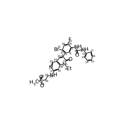 CCn1c(=O)c(-c2cc(NC(=O)Nc3ccccc3)c(F)cc2Br)cc2cnc(NCCS(C)(=O)=O)cc21